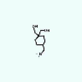 NCC1CCC(CO)(CO)CC1